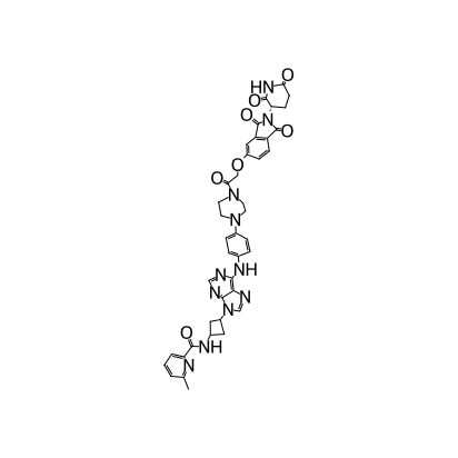 Cc1cccc(C(=O)NC2CC(n3cnc4c(Nc5ccc(N6CCN(C(=O)COc7ccc8c(c7)C(=O)N([C@H]7CCC(=O)NC7=O)C8=O)CC6)cc5)ncnc43)C2)n1